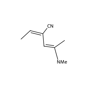 C/C=C(C#N)\C=C(/C)NC